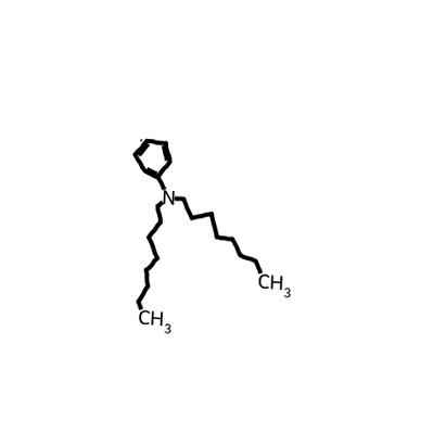 CCCCCCCCN(CCCCCCCC)c1cc[c]cc1